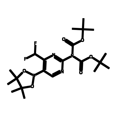 CC(C)(C)OC(=O)N(C(=O)OC(C)(C)C)c1ncc(B2OC(C)(C)C(C)(C)O2)c(C(F)F)n1